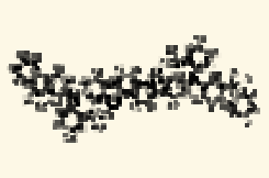 CC1(C)c2ccccc2-c2ccc(N3c4ccccc4C(C)(C)c4c3ccc3c4oc4c3ccc3c4ccc4c5ccc6c(c5oc43)C(C)(C)c3ccccc3N6c3ccc4c(c3)C(C)(C)c3ccccc3-4)cc21